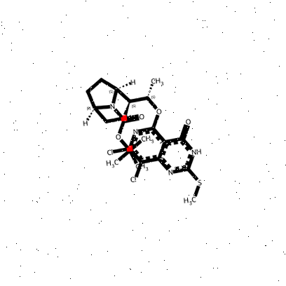 CSc1nc2c(Cl)c(Cl)nc(O[C@@H](C)[C@H]3NC[C@H]4CC[C@@H]3N4C(=O)OC(C)(C)C)c2c(=O)[nH]1